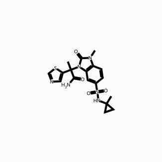 Cn1c(=O)n(C(C)(C(N)=O)c2cncs2)c2cc(S(=O)(=O)NC3(C)CC3)ccc21